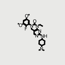 CCN1C(=O)N(c2cc(OC)cc(OC)c2F)Cc2cnc(NC3CCC(N(C)C)CC3)nc21